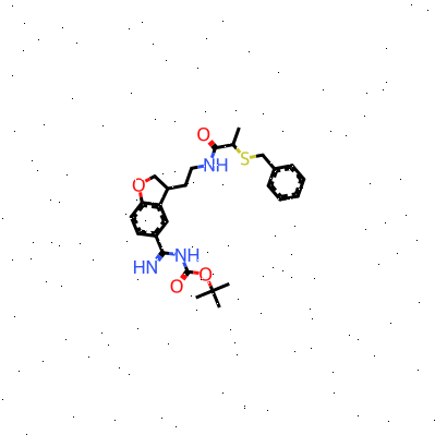 CC(SCc1ccccc1)C(=O)NCCC1COc2ccc(C(=N)NC(=O)OC(C)(C)C)cc21